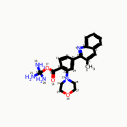 Cc1cc2ccccc2nc1-c1ccc(C(=O)OC(N)(N)N)c(N2CCOCC2)c1